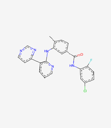 Cc1ccc(C(=O)Nc2cc(Cl)ccc2F)cc1Nc1ncccc1-c1ccncn1